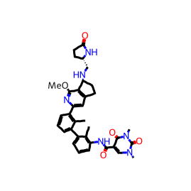 COc1nc(-c2cccc(-c3cccc(NC(=O)c4cn(C)c(=O)n(C)c4=O)c3C)c2C)cc2c1[C@H](NC[C@@H]1CCC(=O)N1)CC2